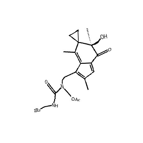 CC(=O)ON(CC1=C(C)C=C2C(=O)[C@](C)(O)C3(CC3)C(C)=C21)C(=O)NC(C)(C)C